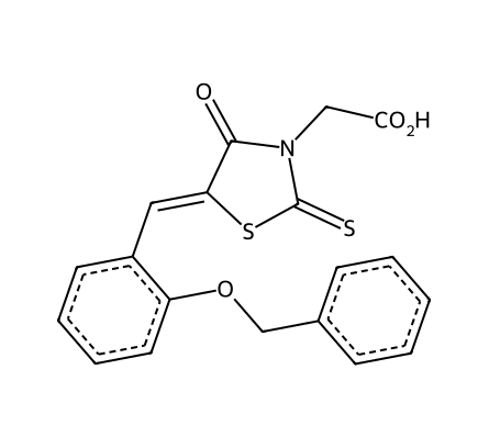 O=C(O)CN1C(=O)C(=Cc2ccccc2OCc2ccccc2)SC1=S